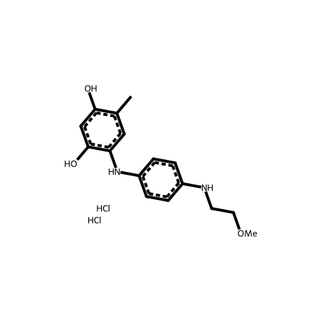 COCCNc1ccc(Nc2cc(C)c(O)cc2O)cc1.Cl.Cl